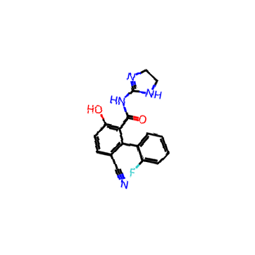 N#Cc1ccc(O)c(C(=O)NC2=NCCN2)c1-c1ccccc1F